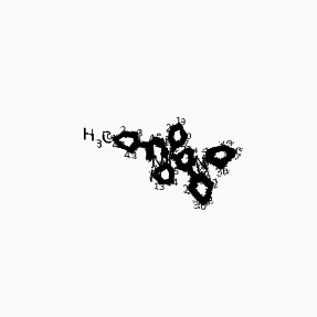 CC1C=CC(C2=CNC([Si](C3=CC=CCC3)(c3ccccc3)c3ccc4c(c3)c3ccccc3n4-c3ccccc3)C=C2)=CC1